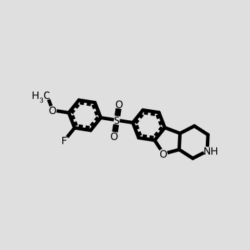 COc1ccc(S(=O)(=O)c2ccc3c(c2)OC2CNCCC32)cc1F